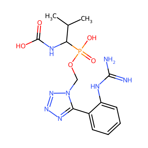 CC(C)C(NC(=O)O)P(=O)(O)OCn1nnnc1-c1ccccc1NC(=N)N